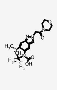 COc1cc2nn(CC(=O)N3CCOCC3)cc2cc1N(C(=O)O)C(C)(C)C